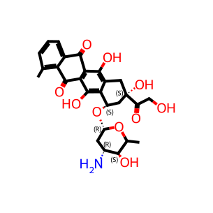 Cc1cccc2c1C(=O)c1c(O)c3c(c(O)c1C2=O)C[C@@](O)(C(=O)CO)C[C@@H]3O[C@H]1C[C@@H](N)[C@H](O)C(C)O1